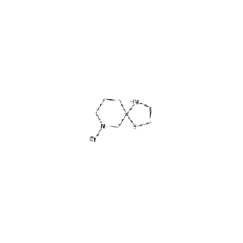 CCN1CCCC2(C1)NCCS2